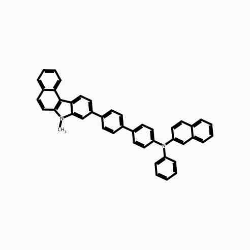 Cn1c2cc(-c3ccc(-c4ccc(N(c5ccccc5)c5ccc6ccccc6c5)cc4)cc3)ccc2c2c3ccccc3ccc21